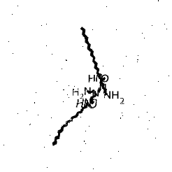 CCCCCCCCCCCCCCCCNC(=O)CCN(CCN)CCN(CCN)CCC(=O)NCCCCCCCCCCCCCCCC